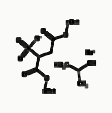 CC(O)C(=O)O.CCCCCCCCOC(=O)CC(C(=O)OCCCCCCCC)S(=O)(=O)[O-].[Na+]